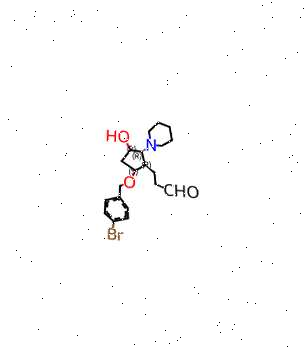 O=CCC[C@@H]1[C@@H](N2CCCCC2)[C@H](O)C[C@@H]1OCc1ccc(Br)cc1